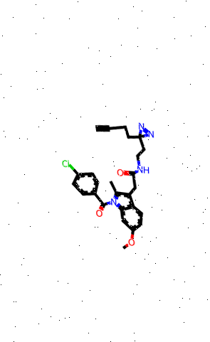 C#CCCC1(CCNC(=O)Cc2c(C)n(C(=O)c3ccc(Cl)cc3)c3cc(OC)ccc23)N=N1